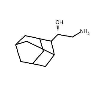 NC[C@@H](O)C1C2CC3CC(C2)CC1C3